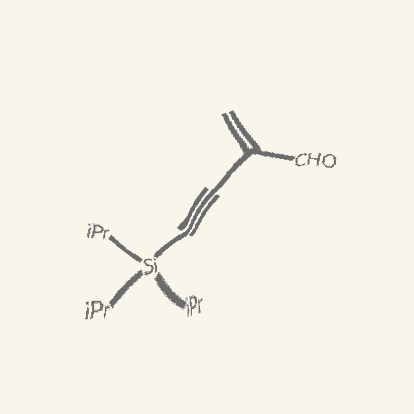 C=C(C#C[Si](C(C)C)(C(C)C)C(C)C)C=O